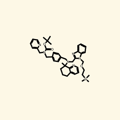 CC(C)(C)OC(=O)N(Cc1ccc(CN(Cc2nc3ccccc3n2COCC[Si](C)(C)C)C2(C)CCCc3cccnc32)cc1)Cc1ccccn1